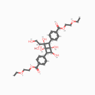 CCOCCOC(=O)c1ccc(C2C(O)[C@@]3(O)C(c4ccc(C(=O)OCCOCC)cc4)[C@@](O)([C@H](O)CO)[C@@]23O)cc1